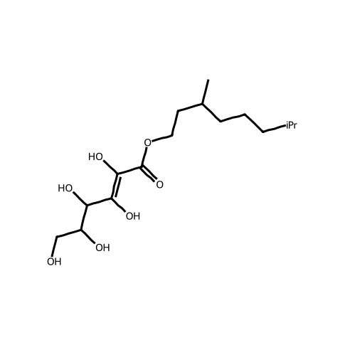 CC(C)CCCC(C)CCOC(=O)/C(O)=C(\O)C(O)C(O)CO